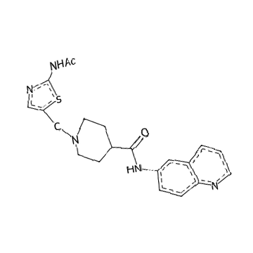 CC(=O)Nc1ncc(CN2CCC(C(=O)Nc3ccc4ncccc4c3)CC2)s1